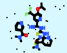 CC(C)Oc1cnc(C(=N)NC(=S)NC2(N=C=S)N=CC=CC2C(=O)N(C)C)cc1C(F)F.CN(C)C(=O)c1cccnc1